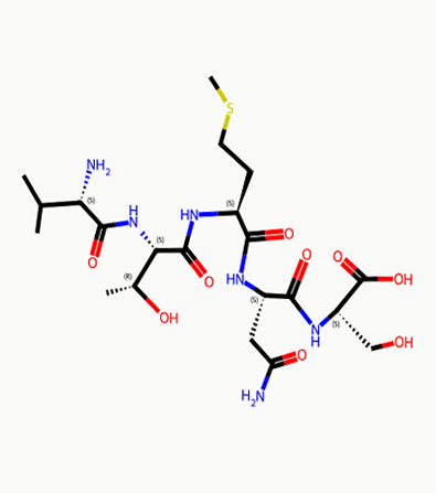 CSCC[C@H](NC(=O)[C@@H](NC(=O)[C@@H](N)C(C)C)[C@@H](C)O)C(=O)N[C@@H](CC(N)=O)C(=O)N[C@@H](CO)C(=O)O